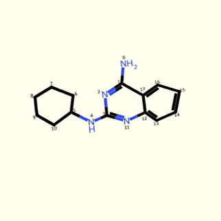 Nc1nc(NC2CCCCC2)nc2ccccc12